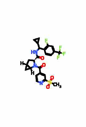 CS(=O)(=O)c1cc(C(=O)N2[C@@H](C(=O)NC(c3ccc(C(F)(F)F)cc3F)C3CC3)C[C@H]3C[C@H]32)ccn1